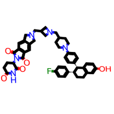 O=C1CCC(N2C(=O)c3cc4c(cc3C2=O)CN(CC2CN(CC3CCN(c5ccc([C@@H]6c7ccc(O)cc7CC[C@@H]6c6ccc(F)cc6)cc5)CC3)C2)C4)C(=O)N1